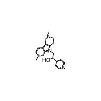 Cc1ccc2c3c(n(CC(O)c4ccncc4)c2c1)CCN(C)C3